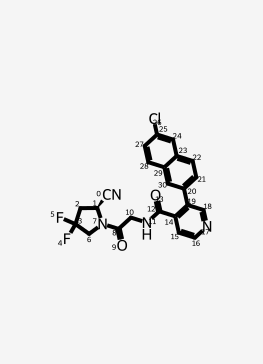 N#C[C@@H]1CC(F)(F)CN1C(=O)CNC(=O)c1ccncc1-c1ccc2cc(Cl)ccc2c1